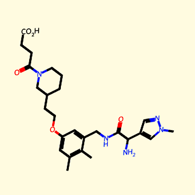 Cc1cc(OCCC2CCCN(C(=O)CCC(=O)O)C2)cc(CNC(=O)C(N)c2cnn(C)c2)c1C